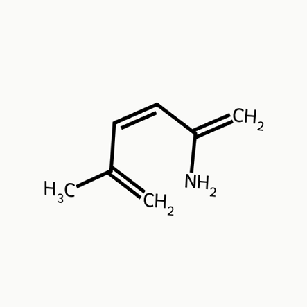 C=C(C)/C=C\C(=C)N